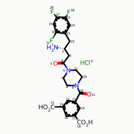 Cl.N[C@@H](CC(=O)N1CCN(C(=O)c2cc(C(=O)O)cc(C(=O)O)c2)CC1)Cc1cc(F)c(F)cc1F